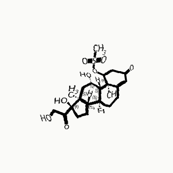 C[C@]12C[C@H](O)[C@H]3[C@@H](CCC4=CC(=O)CC(OS(C)(=O)=O)[C@@]43C)[C@@H]1CC[C@]2(O)C(=O)CO